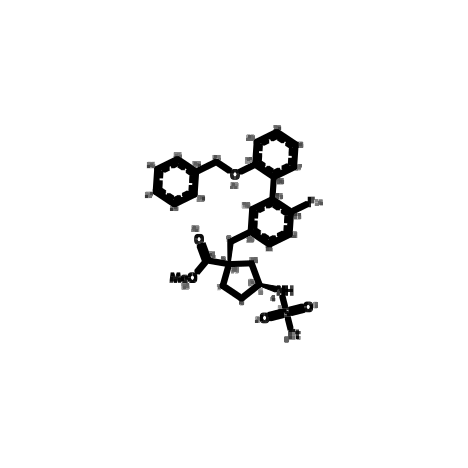 CCS(=O)(=O)N[C@H]1CC[C@](Cc2ccc(F)c(-c3ccccc3OCc3ccccc3)c2)(C(=O)OC)C1